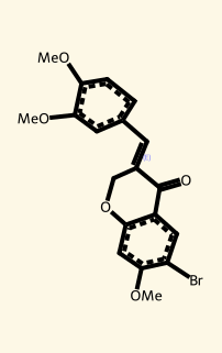 COc1cc2c(cc1Br)C(=O)/C(=C/c1ccc(OC)c(OC)c1)CO2